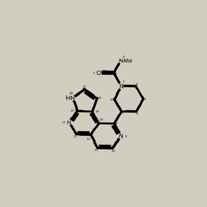 CNC(=O)N1CCCC(c2nccc3cnc4[nH]ccc4c23)C1